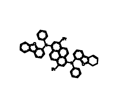 CC(C)c1cc(N(c2ccccc2)c2cccc3c4c(oc23)CCC=C4)c2ccc3c(C(C)C)cc(N(c4ccccc4)c4cccc5c4oc4ccccc45)c4ccc1c2c34